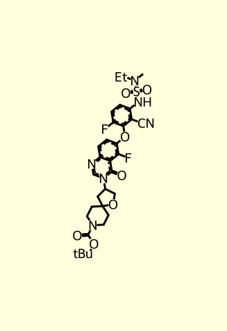 CCN(C)S(=O)(=O)Nc1ccc(F)c(Oc2ccc3ncn(C4COC5(CCN(C(=O)OC(C)(C)C)CC5)C4)c(=O)c3c2F)c1C#N